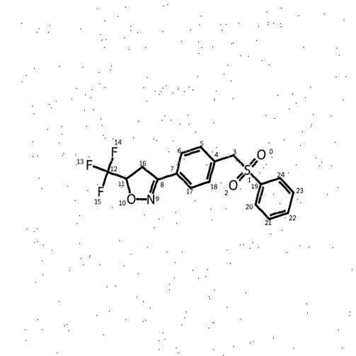 O=S(=O)(Cc1ccc(C2=NOC(C(F)(F)F)C2)cc1)c1ccccc1